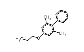 CCCOc1cc(C)c(-c2ccccc2)c(C)c1